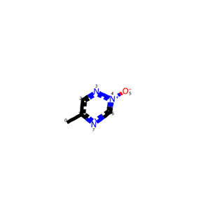 Cc1cn[n+]([O-])cn1